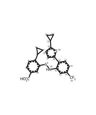 O=C(O)c1ccc(C2CC2)c(SNc2cc(C(F)(F)F)ccc2-c2ccc(C3CC3)s2)c1